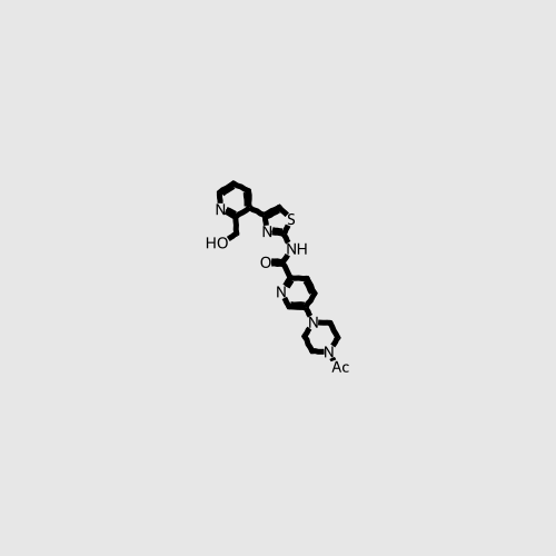 CC(=O)N1CCN(c2ccc(C(=O)Nc3nc(-c4cccnc4CO)cs3)nc2)CC1